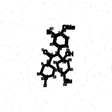 COc1ccc(C(C(=O)N2CCN(C)CC2)C2(O)CCC(C(C)(C)C)CC2)cc1Br